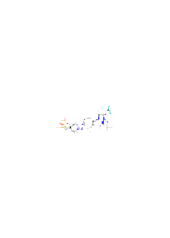 Cn1nc(C(F)(F)F)cc1C1CCC(N2CCC3(C2)CS(=O)(=O)C3)CC1